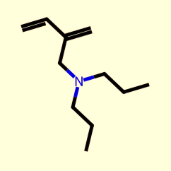 C=CC(=C)CN(CCC)CCC